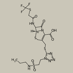 CCCNS(=O)(=O)CCn1nnnc1SCC1=C(C(=O)O)N2C(=O)C(NC(=O)CSC(F)(F)F)[C@H]2SC1